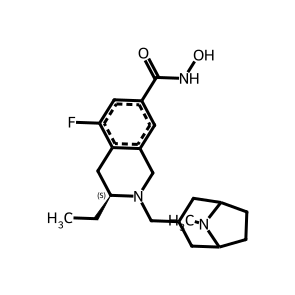 CC[C@H]1Cc2c(F)cc(C(=O)NO)cc2CN1CC1CC2CCC(C1)N2C